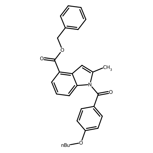 CCCCOc1ccc(C(=O)n2c(C)cc3c(C(=O)OCc4ccccc4)cccc32)cc1